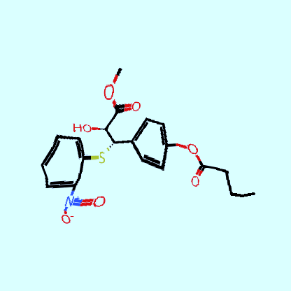 CCCC(=O)Oc1ccc([C@H](Sc2ccccc2[N+](=O)[O-])[C@@H](O)C(=O)OC)cc1